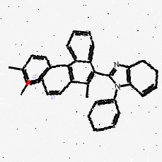 C/C=C\C=C/c1c(C)c(-c2nc3c(n2C2=CCCC=C2)C=CCC3)c2ccccc2c1-c1ccc(C)cc1